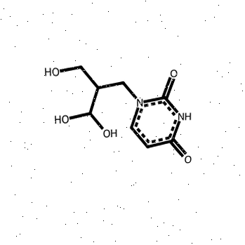 O=c1ccn(CC(CO)C(O)O)c(=O)[nH]1